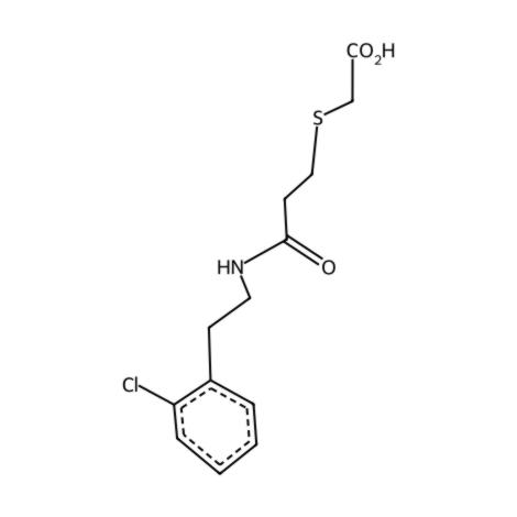 O=C(O)CSCCC(=O)NCCc1ccccc1Cl